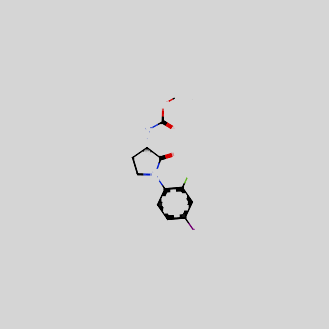 CC(C)(C)OC(=O)N[C@H]1CCN(c2ccc(I)cc2F)C1=O